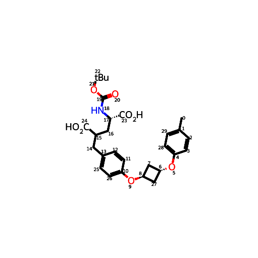 Cc1ccc(O[C@H]2C[C@H](Oc3ccc(CC(C[C@H](NC(=O)OC(C)(C)C)C(=O)O)C(=O)O)cc3)C2)cc1